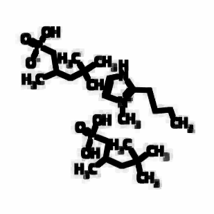 CC(CC(C)(C)C)CP(=O)(O)O.CC(CC(C)(C)C)CP(=O)([O-])O.CCCCc1[nH]cc[n+]1C